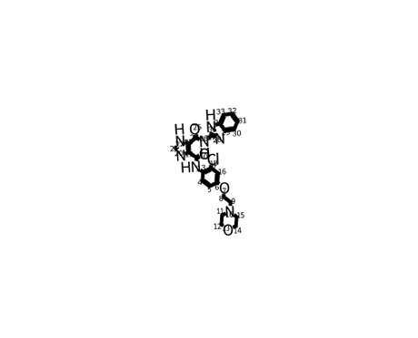 O=C(Nc1ccc(OCCN2CCOCC2)cc1Cl)c1nc[nH]c1C(=O)Nc1nc2ccccc2[nH]1